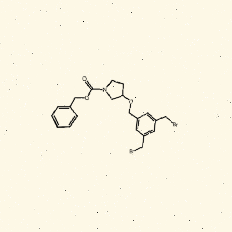 O=C(OCc1ccccc1)N1CCC(OCc2cc(CBr)cc(CBr)c2)C1